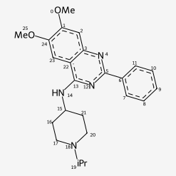 COc1cc2nc(-c3ccccc3)nc(NC3CCN(C(C)C)CC3)c2cc1OC